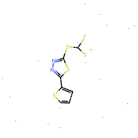 FC(F)Sc1nnc(-c2cccs2)s1